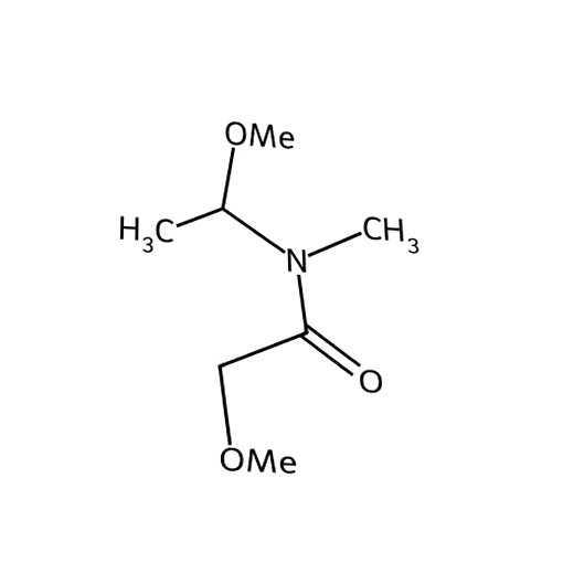 COCC(=O)N(C)C(C)OC